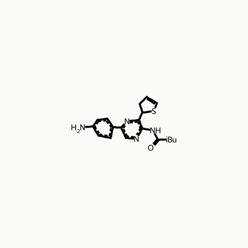 CCC(C)C(=O)Nc1ncc(-c2ccc(N)cc2)nc1C1CC=CS1